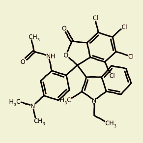 CCn1c(C)c(C2(c3ccc(N(C)C)cc3NC(C)=O)OC(=O)c3c(Cl)c(Cl)c(Cl)c(Cl)c32)c2ccccc21